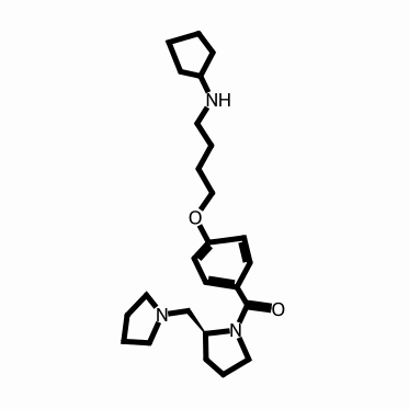 O=C(c1ccc(OCCCCNC2CCCC2)cc1)N1CCC[C@H]1CN1CCCC1